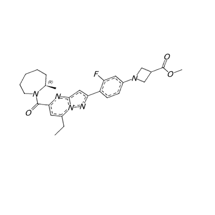 CCc1cc(C(=O)N2CCCCC[C@H]2C)nc2cc(-c3ccc(N4CC(C(=O)OC)C4)cc3F)nn12